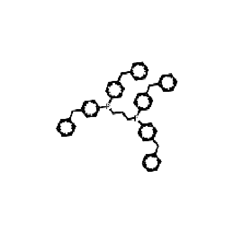 c1ccc(Cc2ccc(P(CCCP(c3ccc(Cc4ccccc4)cc3)c3ccc(Cc4ccccc4)cc3)c3ccc(Cc4ccccc4)cc3)cc2)cc1